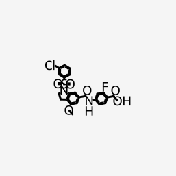 COc1cc(C(=O)Nc2ccc(C(=O)O)c(F)c2)cc2c1CCN2S(=O)(=O)c1cccc(Cl)c1